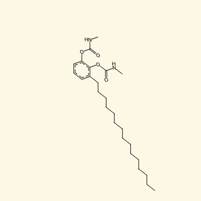 CCCCCCCCCCCCCCCc1cccc(OC(=O)NC)c1OC(=O)NC